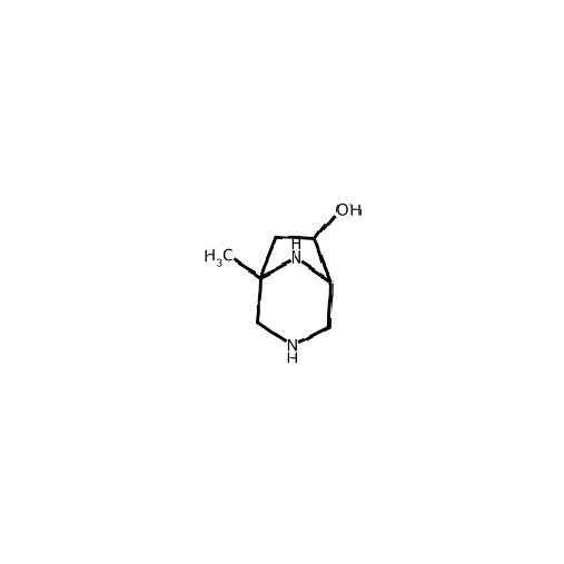 CC12CNCC(N1)C(O)C2